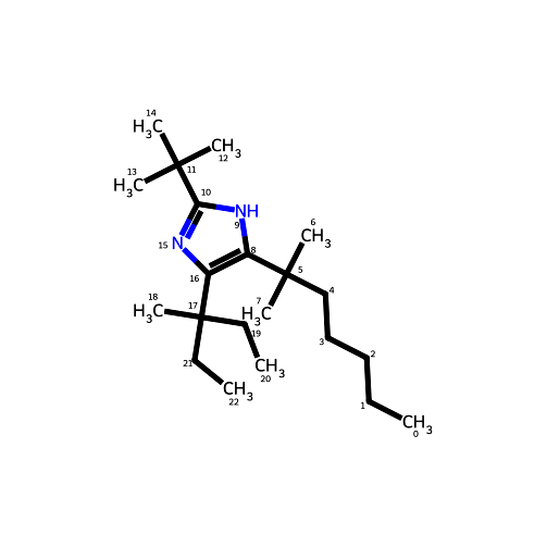 CCCCCC(C)(C)c1[nH]c(C(C)(C)C)nc1C(C)(CC)CC